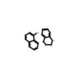 Clc1cccc2ccccc12.c1ccc2c(c1)CCCC2